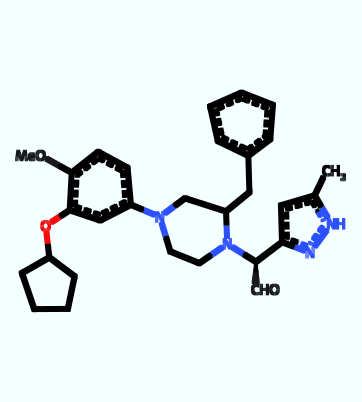 COc1ccc(N2CCN([C@H](C=O)c3cc(C)[nH]n3)C(Cc3ccccc3)C2)cc1OC1CCCC1